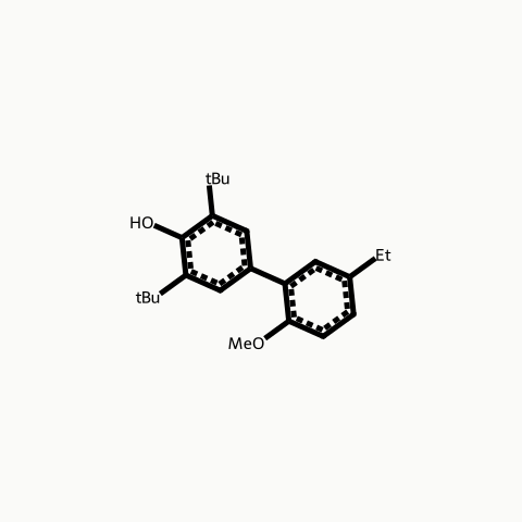 CCc1ccc(OC)c(-c2cc(C(C)(C)C)c(O)c(C(C)(C)C)c2)c1